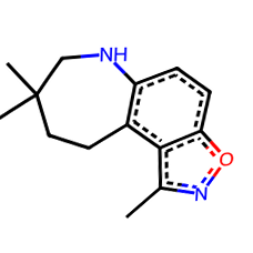 Cc1noc2ccc3c(c12)CCC(C)(C)CN3